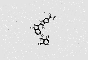 COC(=O)N1Cc2nc(-c3n[nH]c4ccc(O[C@H](C)c5c(Cl)cncc5Cl)cc34)[nH]c2C1